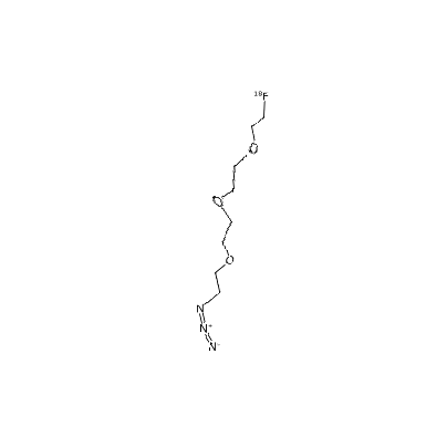 [N-]=[N+]=NCCOCCOCCOCC[18F]